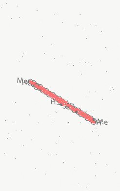 COCCOCCOCCOCCOCCOCCOCCOCCOCCOCCOCCOCCOCCOCCOCCOCCOCCOCCOCCOCCOC.OCCOCCOCCOCCOCCOCCOCCOCCOCCOCCOCCOCCOCCOCCOCCOCCOCCOCCOCCOCCO.SCCSCCS